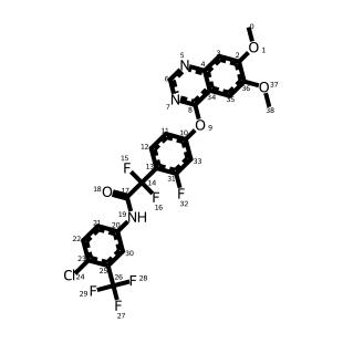 COc1cc2ncnc(Oc3ccc(C(F)(F)C(=O)Nc4ccc(Cl)c(C(F)(F)F)c4)c(F)c3)c2cc1OC